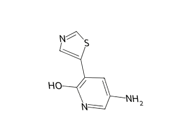 Nc1cnc(O)c(-c2cncs2)c1